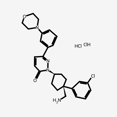 Cl.Cl.NC[C@]1(c2cccc(Cl)c2)CC[C@H](n2nc(-c3cccc(N4CCOCC4)c3)ccc2=O)CC1